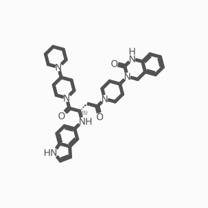 O=C(C[C@H](Nc1ccc2[nH]ccc2c1)C(=O)N1CCC(N2CCCCC2)CC1)N1CCC(N2Cc3ccccc3NC2=O)CC1